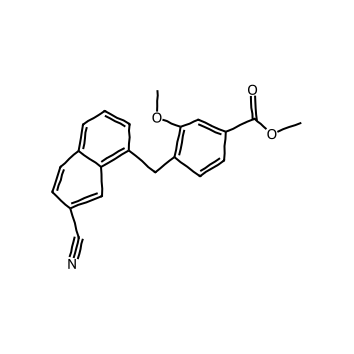 COC(=O)c1ccc(Cc2cccc3ccc(C#N)cc23)c(OC)c1